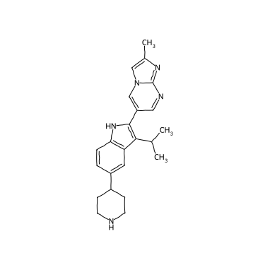 Cc1cn2cc(-c3[nH]c4ccc(C5CCNCC5)cc4c3C(C)C)cnc2n1